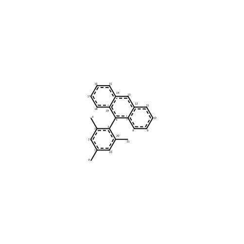 Cc1[c]c(C)c(-c2c3ccccc3cc3ccccc23)c(C)c1